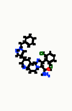 NC(=O)c1c(-c2c(Cl)cccc2Cl)nc2c3cc(-c4cnn(Cc5ccccc5)c4)cnc3ccn12